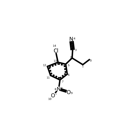 CCC(C#N)c1cc([N+](=O)[O-])ccc1Cl